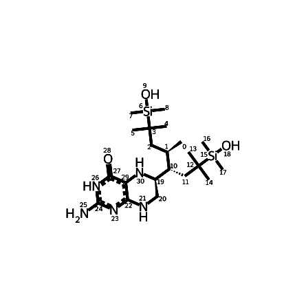 C[C@H](CC(C)(C)[Si](C)(C)O)[C@H](CC(C)(C)[Si](C)(C)O)[C@H]1CNc2nc(N)[nH]c(=O)c2N1